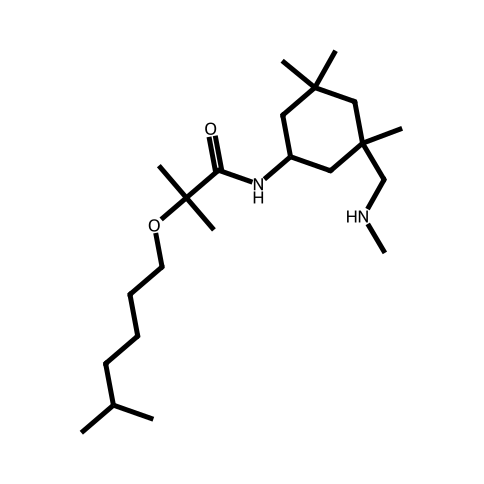 CNCC1(C)CC(NC(=O)C(C)(C)OCCCCC(C)C)CC(C)(C)C1